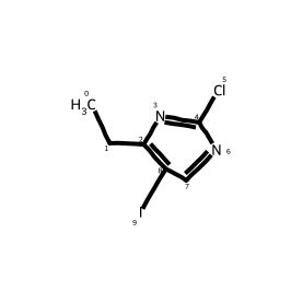 CCc1nc(Cl)ncc1I